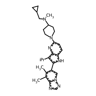 Cc1c(-c2[nH]c3ccc(N4CCC(N(C)CC5CC5)CC4)nc3c2C(C)C)cn2ncnc2c1C